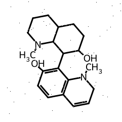 CN1CC=Cc2ccc(O)c(C3C(O)CCC4CCCN(C)C43)c21